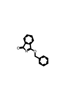 O=C1N=C(OCc2ccccc2)c2ccccc21